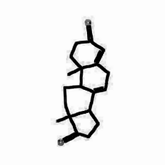 CC12CCC3C(=CCC4=CC(=O)CCC43C)C1CCC2=O